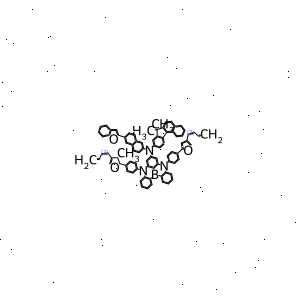 C=C/C=C\C1=COC(c2ccc(N3c4ccccc4B4c5ccccc5N(c5ccc(-c6cc(/C=C\C=C)co6)cc5)c5cc(N(c6ccc7c(c6)C(C)(C)c6ccc8ccccc8c6-7)c6ccc7cc(-c8cc9ccccc9o8)ccc7c6)cc3c54)cc2)C1C